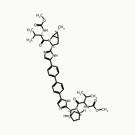 COC(=O)NC(C(=O)N1[C@@H]2CC[C@@H](C2)[C@H]1c1ncc(-c2ccc(-c3ccc(-c4cnc([C@@H]5CC6C([C@@H]6C)N5C(=O)[C@@H](NC(=O)OC)C(C)C)[nH]4)cc3)cc2)[nH]1)C(C)C